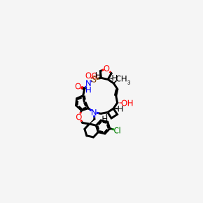 C[C@H]1/C=C/[C@H](O)[C@@H]2CC[C@H]2CN2C[C@@]3(CCCc4cc(Cl)ccc43)COc3ccc(cc32)C(=O)NS(=O)(=O)[C@@H]2COC[C@H]21